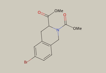 COC(=O)C1Cc2cc(Br)ccc2CN1C(=O)OC